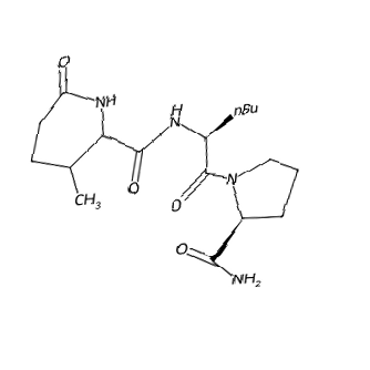 CCCC[C@H](NC(=O)C1NC(=O)CCC1C)C(=O)N1CCC[C@H]1C(N)=O